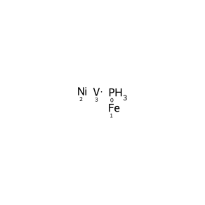 P.[Fe].[Ni].[V]